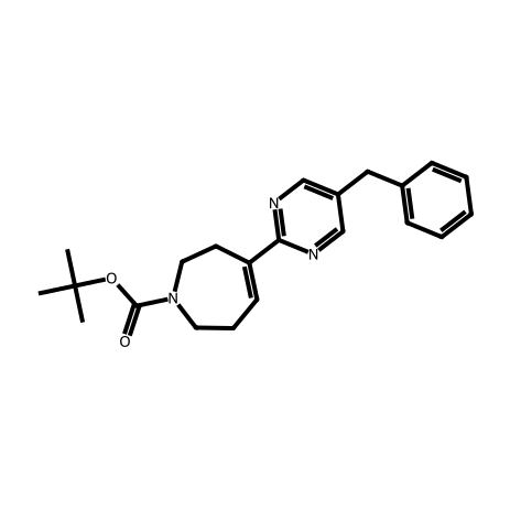 CC(C)(C)OC(=O)N1CCC=C(c2ncc(Cc3ccccc3)cn2)CC1